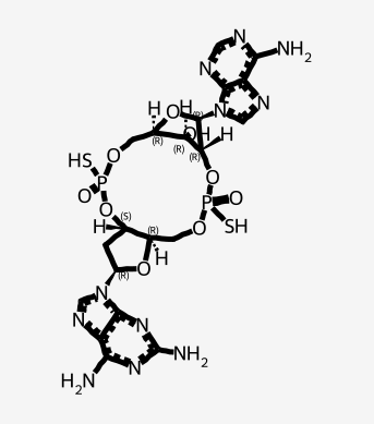 Nc1nc(N)c2ncn([C@H]3C[C@@H]4OP(=O)(S)OC[C@H]5O[C@@H](n6cnc7c(N)ncnc76)[C@H](OP(=O)(S)OC[C@H]4O3)[C@@H]5O)c2n1